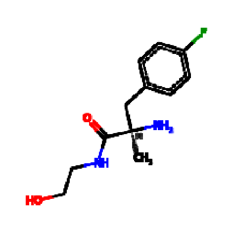 C[C@@](N)(Cc1ccc(F)cc1)C(=O)NCCO